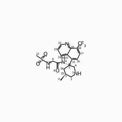 C[C@@H]1CNC[C@](NC(=O)CNS(C)(=O)=O)(c2ccc(C(F)(F)F)c3ncccc23)C1